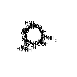 CC(=O)N[C@H]1CSS[C@@H](C(=O)O)CNC(=O)[C@H](CC(=O)O)NC(=O)[C@@H]2CCCC2C(=O)CNC(=O)[C@H](CCCCN)NC(=O)[C@H](CC(=O)O)NC(=O)CNC(=O)[C@H](CCCNC(=N)N)NC1=O